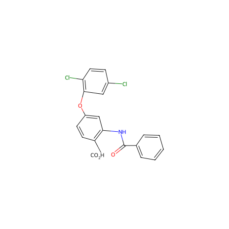 O=C(Nc1cc(Oc2cc(Cl)ccc2Cl)ccc1C(=O)O)c1ccccc1